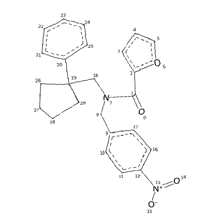 O=C(c1ccco1)N(Cc1ccc([N+](=O)[O-])cc1)CC1(c2ccccc2)CCCC1